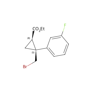 CCOC(=O)[C@@H]1C[C@@]1(CBr)c1cccc(F)c1